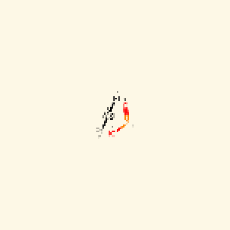 C[CH2][Mg][CH2]C.O=PO